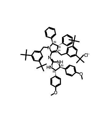 COc1ccc([C@@H]2NC(=NC3=[N+](Cc4cc(C(C)(C)C)cc(C(C)(C)C)c4)[C@@H](c4ccccc4)[C@H](c4ccccc4)N3Cc3cc(C(C)(C)C)cc(C(C)(C)C)c3)N[C@H]2c2ccc(OC)cc2)cc1.[Cl-]